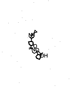 C[C@@H](c1ccc(-c2cnn(C3CC3)c2)cc1)N1CCC(CC(C)(C)O)(c2ccccc2)OC1=O